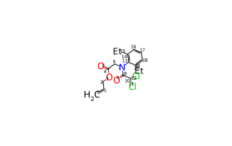 C=CCOC(=O)CN(C(=O)C(Cl)Cl)c1c(CC)cccc1CC